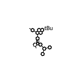 Cc1ccc(-c2cc(-c3ccc(-n4c5c(c6cc(-c7cc(-c8ccccc8)cc(-c8ccccc8)c7)ccc64)C(C)CC=C5)cc3)c3ccc4cc(C(C)(C)C)cc5ccc2c3c54)cc1